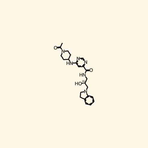 CC(=O)N1CCC(Nc2cc(C(=O)NC[C@H](O)CN3CCc4ccccc43)ncn2)CC1